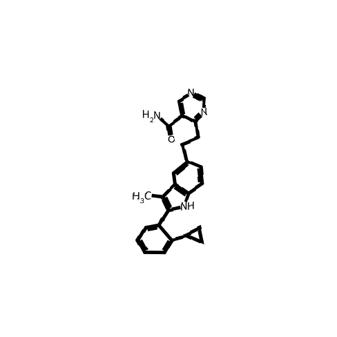 Cc1c(-c2ccccc2C2CC2)[nH]c2ccc(CCc3ncncc3C(N)=O)cc12